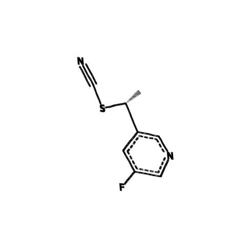 C[C@@H](SC#N)c1cncc(F)c1